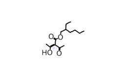 CCCCC(CC)COC(=O)/C(C(C)=O)=C(\C)O